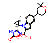 C[C@H]1C[C@]1(c1noc(=O)[nH]1)n1c(C(O)O)cc2cc(C3CCOC(C)(C)C3)ccc21